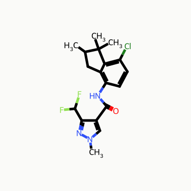 CC1Cc2c(NC(=O)c3cn(C)nc3C(F)F)ccc(Cl)c2C1(C)C